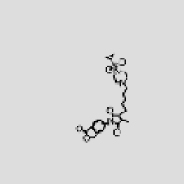 CC1=C(CCCCCN2CCN(S(=O)(=O)C3CC3)CC2)C(=O)N(c2ccc3c(c2)COC3=O)C1=O